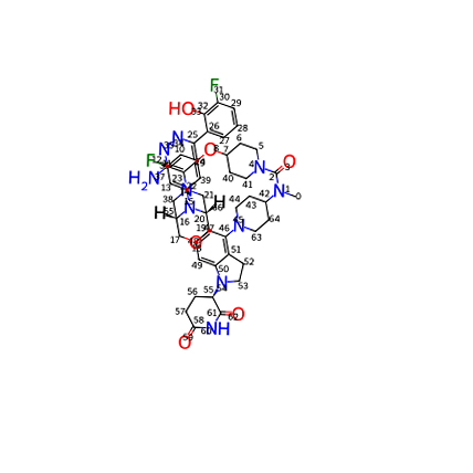 CN(C(=O)N1CCC(Oc2cc(F)cc(N3[C@@H]4COC[C@H]3CN(c3cc(-c5cccc(F)c5O)nnc3N)C4)c2)CC1)C1CCN(c2cccc3c2CCN3[C@@H]2CCC(=O)NC2=O)CC1